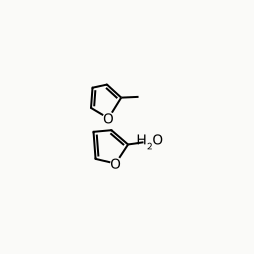 Cc1ccco1.Cc1ccco1.O